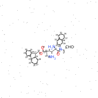 C[C@@H]([C]=O)N(C(=O)[C@@H](N)CCC(CN)C(=O)OCC1c2ccccc2-c2ccccc21)c1ccc2ccccc2c1